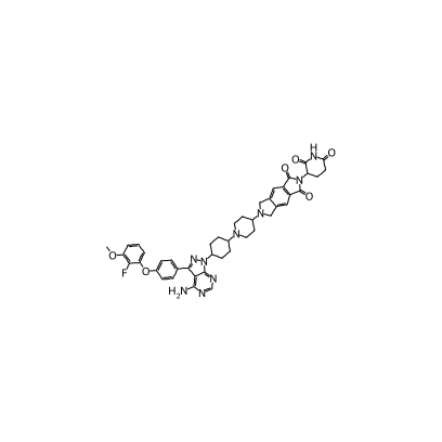 COc1cccc(Oc2ccc(-c3nn(C4CCC(N5CCC(N6Cc7cc8c(cc7C6)C(=O)N(C6CCC(=O)NC6=O)C8=O)CC5)CC4)c4ncnc(N)c34)cc2)c1F